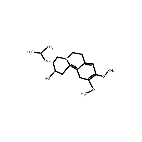 COC1=C(OC)CC2=C3C[C@@H](O)[C@H](CC(C)C)CN3CCC2=C1